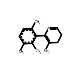 CC1=C(c2c(C)ccc(C)c2C)N=CCC1